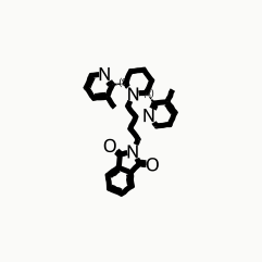 CC1=CCCN=C1[C@H]1CCC[C@@H](c2ncccc2C)N1CCCCN1C(=O)c2ccccc2C1=O